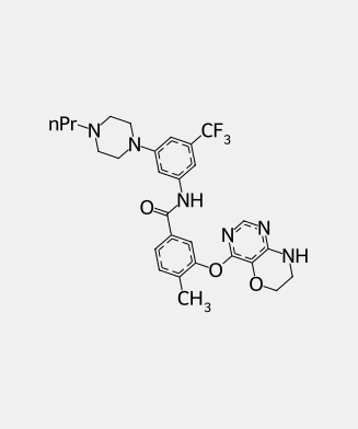 CCCN1CCN(c2cc(NC(=O)c3ccc(C)c(Oc4ncnc5c4OCCN5)c3)cc(C(F)(F)F)c2)CC1